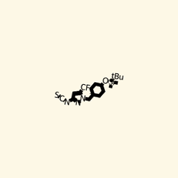 CC(C)(C)[Si](C)(C)OC1CCC(Cn2nc(N=C=S)cc2C(F)(F)F)CC1